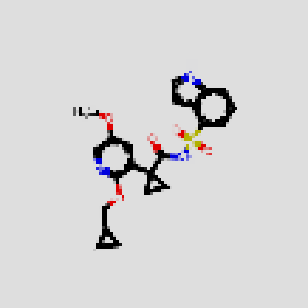 COc1cnc(OCC2CC2)c(C2(C(=O)NS(=O)(=O)c3cccc4[nH]ccc34)CC2)c1